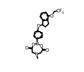 CN1CC(=O)OB(c2ccc(OC3CCc4c(OCC(F)(F)F)cccc43)cc2)OC(=O)C1